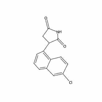 O=C1CC(c2cccc3cc(Cl)ccc23)C(=O)N1